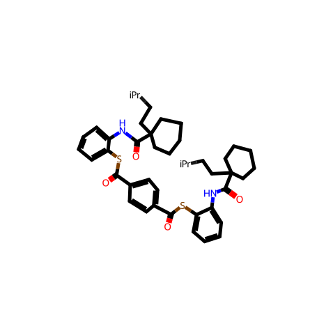 CC(C)CCC1(C(=O)Nc2ccccc2SC(=O)c2ccc(C(=O)Sc3ccccc3NC(=O)C3(CCC(C)C)CCCCC3)cc2)CCCCC1